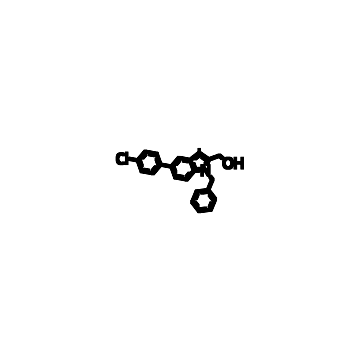 OCc1[c]c2cc(-c3ccc(Cl)cc3)ccc2n1Cc1ccccc1